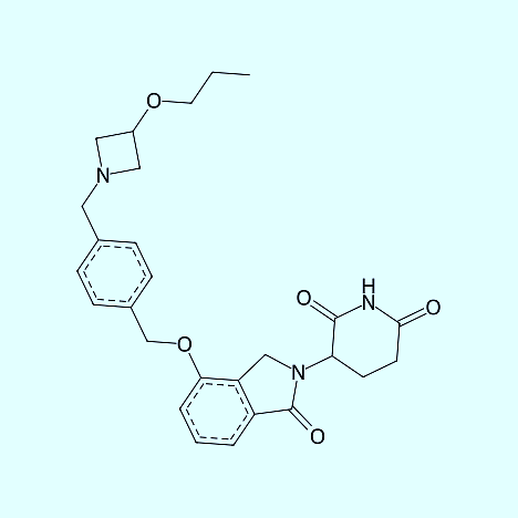 CCCOC1CN(Cc2ccc(COc3cccc4c3CN(C3CCC(=O)NC3=O)C4=O)cc2)C1